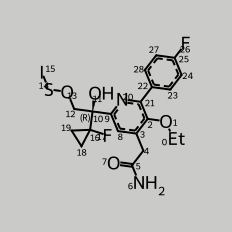 CCOc1c(CC(N)=O)cc([C@@](O)(COSI)C2(F)CC2)nc1-c1ccc(F)cc1